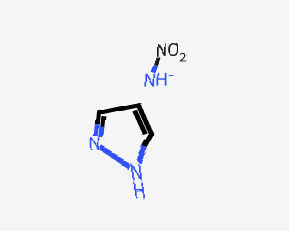 [NH-][N+](=O)[O-].c1cn[nH]c1